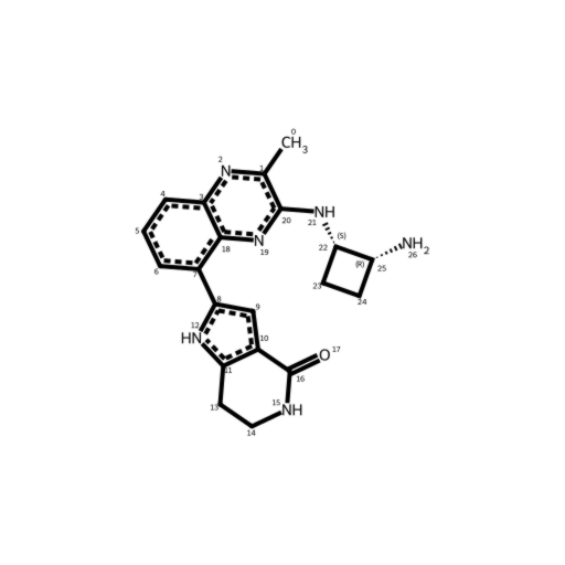 Cc1nc2cccc(-c3cc4c([nH]3)CCNC4=O)c2nc1N[C@H]1CC[C@H]1N